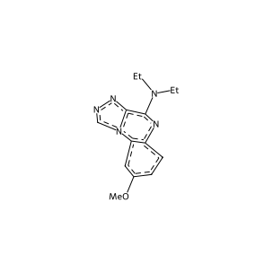 CCN(CC)c1nc2ccc(OC)cc2n2cnnc12